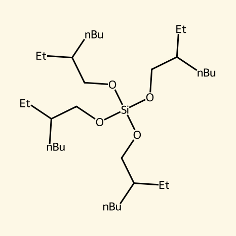 CCCCC(CC)CO[Si](OCC(CC)CCCC)(OCC(CC)CCCC)OCC(CC)CCCC